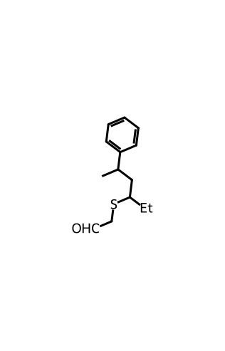 [CH2]CC(CC(C)c1ccccc1)SCC=O